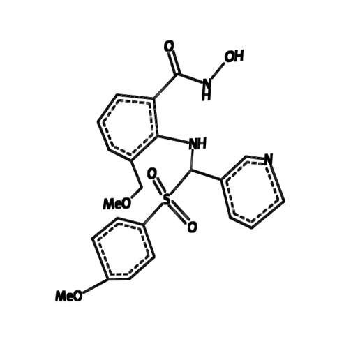 COCc1cccc(C(=O)NO)c1NC(c1cccnc1)S(=O)(=O)c1ccc(OC)cc1